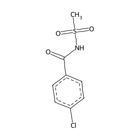 CS(=O)(=O)NC(=O)c1ccc(Cl)cc1